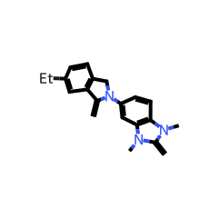 C=C1N(C)c2ccc(N3Cc4ccc(CC)cc4C3=C)cc2N1C